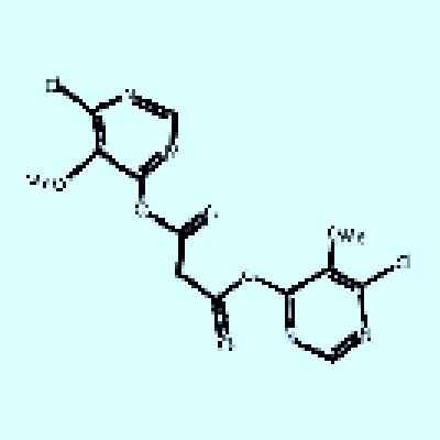 COc1c(Cl)ncnc1OC(=O)CC(=O)Oc1ncnc(Cl)c1OC